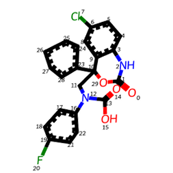 O=C1Nc2ccc(Cl)cc2C(CN(C(=O)O)c2ccc(F)cc2)(c2ccccc2)O1